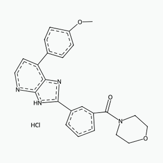 COc1ccc(-c2ccnc3[nH]c(-c4cccc(C(=O)N5CCOCC5)c4)nc23)cc1.Cl